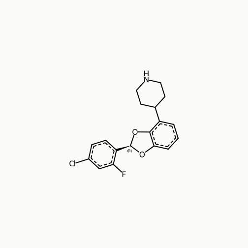 Fc1cc(Cl)ccc1[C@@H]1Oc2cccc(C3CCNCC3)c2O1